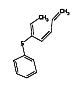 C=C/C=C\C(=C/C)Sc1ccccc1